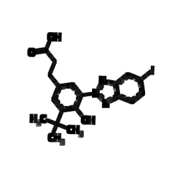 CC(C)(C)c1cc(CCC(=O)O)cc(-n2nc3ccc(I)cc3n2)c1O